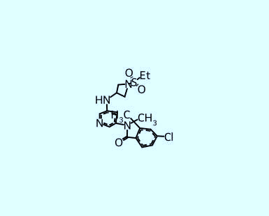 CCS(=O)(=O)N1CC(Nc2cncc(N3C(=O)c4ccc(Cl)cc4C3(C)C)c2)C1